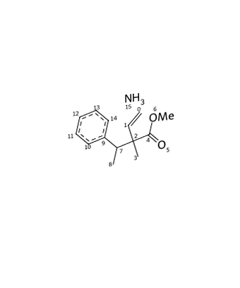 C=CC(C)(C(=O)OC)C(C)c1ccccc1.N